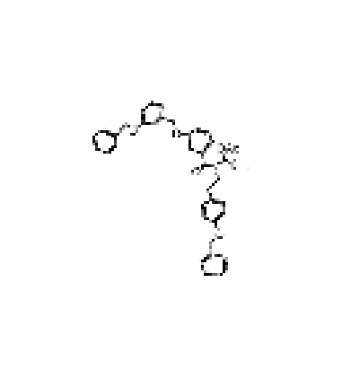 CC(=O)OC(C)N(CCc1ccc(OCc2ccccc2)cc1)C(=O)c1cccc(OCc2cccc(OCc3ccccc3)c2)c1